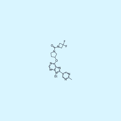 CCn1c(-c2cnc(C)nc2)nc2c(OC3CCN(C(=O)N4CC(F)(F)C4)C3)ncnc21